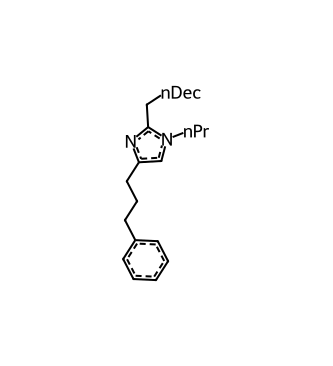 CCCCCCCCCCCc1nc(CCCc2ccccc2)cn1CCC